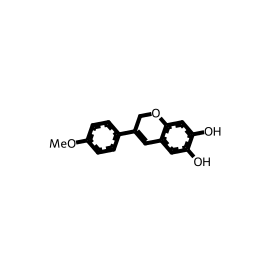 COc1ccc(C2=Cc3cc(O)c(O)cc3OC2)cc1